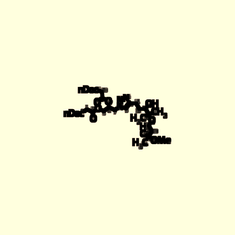 CCCCCCCCCCCC(=O)OCC(Cn1cc(CCC(O)C(C)(C)OCCC(C)(C)OC)nn1)OC(=O)CCCCCCCCCCC